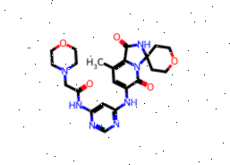 Cc1cc(Nc2cc(NC(=O)CN3CCOCC3)ncn2)c(=O)n2c1C(=O)NC21CCOCC1